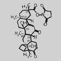 C[C@]1(C(=O)ON2C(=O)CCC2=O)CC[C@]2(C)CC[C@]3(C)C(=CC(=O)[C@@H]4[C@@]5(C)CCC(=O)[C@]6(C)C7CC(C7)[C@]65CC[C@]43C)[C@H]2C1